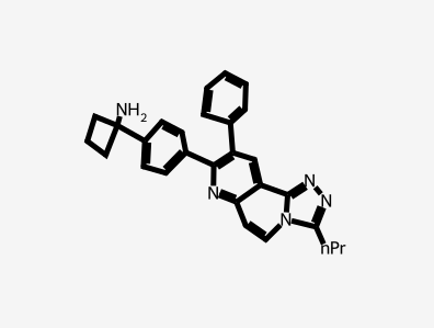 CCCc1nnc2c3cc(-c4ccccc4)c(-c4ccc(C5(N)CCC5)cc4)nc3ccn12